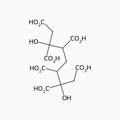 O=C(O)CC(O)(C(=O)O)C(CC(C(=O)O)C(O)(CC(=O)O)C(=O)O)C(=O)O